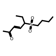 CCCCS(=O)(=O)C(C=CC(C)=O)CC